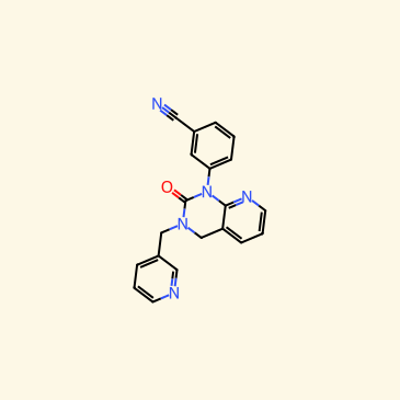 N#Cc1cccc(N2C(=O)N(Cc3cccnc3)Cc3cccnc32)c1